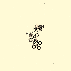 CCCc1nc(C)c(C(=O)O)n1Cc1ccc2oc(-c3ccccc3-c3nnn(C(c4ccccc4)(c4ccccc4)c4ccccc4)n3)c(Br)c2c1